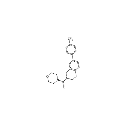 O=C(N1CCOCC1)N1CCc2ccc(-c3ccc(C(F)(F)F)cc3)cc2C1